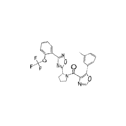 Cc1cccc(-c2ocnc2C(=O)N2CCCC2c2nc(-c3ccccc3OC(F)(F)F)no2)c1